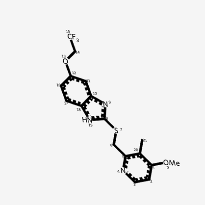 COc1ccnc(CSc2nc3cc(OCC(F)(F)F)ccc3[nH]2)c1C